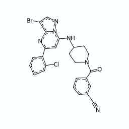 N#Cc1cccc(C(=O)N2CCC(Nc3cc(-c4ccccc4Cl)nc4c(Br)cnn34)CC2)c1